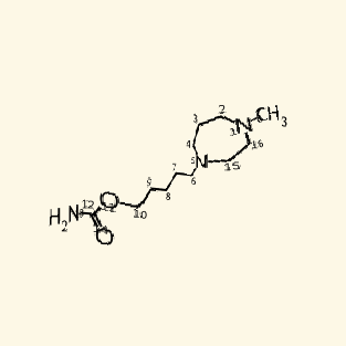 CN1CCCN(CCCCCOC(N)=O)CC1